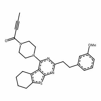 CC#CC(=O)N1CCN(c2nc(CCc3cccc(OC)c3)nc3sc4c(c23)CCCC4)CC1